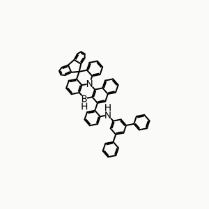 B1c2cccc3c2N(c2ccccc2C32c3ccccc3-c3ccccc32)c2c1c(-c1ccccc1Nc1cc(-c3ccccc3)cc(-c3ccccc3)c1)cc1ccccc21